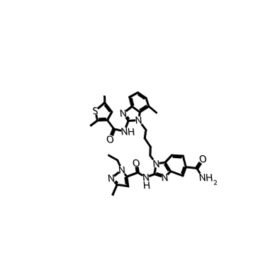 CCn1nc(C)cc1C(=O)Nc1nc2cc(C(N)=O)ccc2n1CCCCn1c(NC(=O)c2cc(C)sc2C)nc2cccc(C)c21